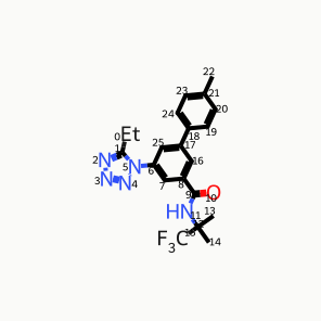 CCc1nnnn1-c1cc(C(=O)NC(C)(C)C(F)(F)F)cc(-c2ccc(C)cc2)c1